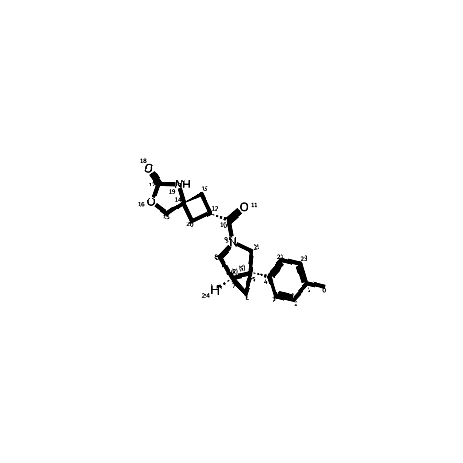 Cc1ccc([C@]23C[C@H]2CN(C(=O)[C@H]2C[C@]4(COC(=O)N4)C2)C3)cc1